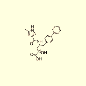 Cc1cc(C(=O)NC(Cc2ccc(-c3ccccc3)cc2)C[C@@H](O)C(=O)O)n[nH]1